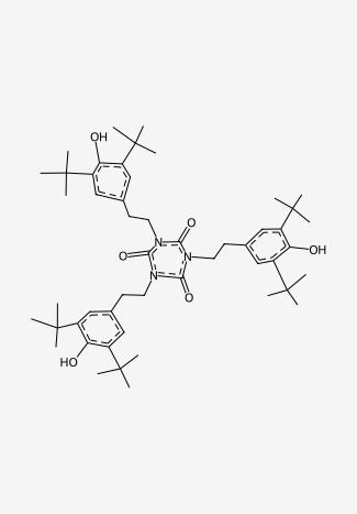 CC(C)(C)c1cc(CCn2c(=O)n(CCc3cc(C(C)(C)C)c(O)c(C(C)(C)C)c3)c(=O)n(CCc3cc(C(C)(C)C)c(O)c(C(C)(C)C)c3)c2=O)cc(C(C)(C)C)c1O